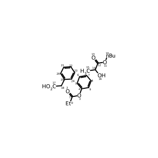 CCC(=O)Oc1ccccc1.CCCCOC(=O)C(C)O.O=C(O)Cc1ccccc1